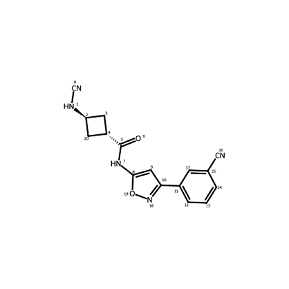 N#CN[C@H]1C[C@H](C(=O)Nc2cc(-c3cccc(C#N)c3)no2)C1